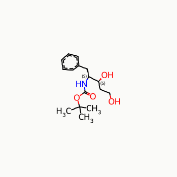 CC(C)(C)OC(=O)N[C@@H](Cc1ccccc1)[C@@H](O)CCO